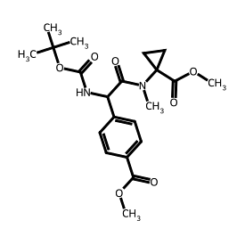 COC(=O)c1ccc(C(NC(=O)OC(C)(C)C)C(=O)N(C)C2(C(=O)OC)CC2)cc1